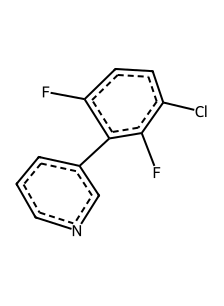 Fc1ccc(Cl)c(F)c1-c1cccnc1